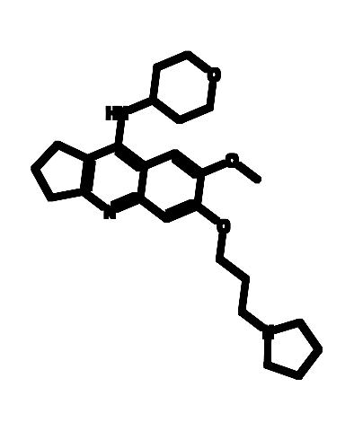 COc1cc2c(NC3CCOCC3)c3c(nc2cc1OCCCN1CCCC1)CCC3